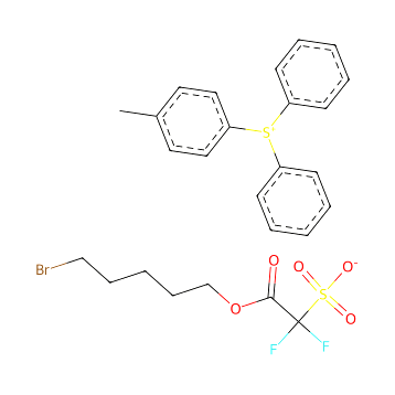 Cc1ccc([S+](c2ccccc2)c2ccccc2)cc1.O=C(OCCCCCBr)C(F)(F)S(=O)(=O)[O-]